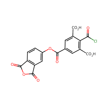 O=C(Oc1ccc2c(c1)C(=O)OC2=O)c1cc(C(=O)O)c(C(=O)Cl)c(C(=O)O)c1